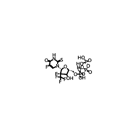 O=c1[nH]c(=S)n([C@@H]2O[C@H](COP(=O)(O)OP(=O)(O)OP(=O)(O)O)C(O)[C@]2(F)C(F)(F)F)cc1F